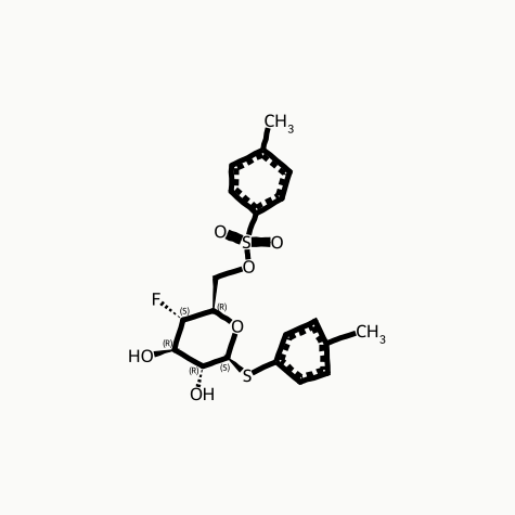 Cc1ccc(S[C@@H]2O[C@H](COS(=O)(=O)c3ccc(C)cc3)[C@@H](F)[C@H](O)[C@H]2O)cc1